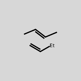 C=CCC.CC=CC